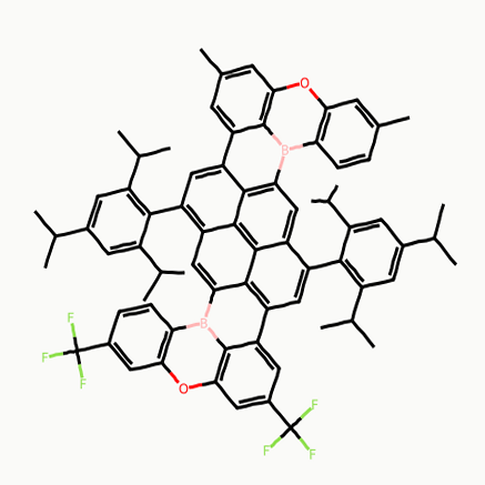 Cc1ccc2c(c1)Oc1cc(C)cc3c1B2c1cc2c(-c4c(C(C)C)cc(C(C)C)cc4C(C)C)cc4c5c(cc6c(-c7c(C(C)C)cc(C(C)C)cc7C(C)C)cc-3c1c6c25)B1c2ccc(C(F)(F)F)cc2Oc2cc(C(F)(F)F)cc-4c21